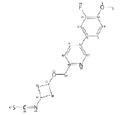 COc1ccc(-c2ccc(COC3CC(N=C=S)C3)nc2)cc1F